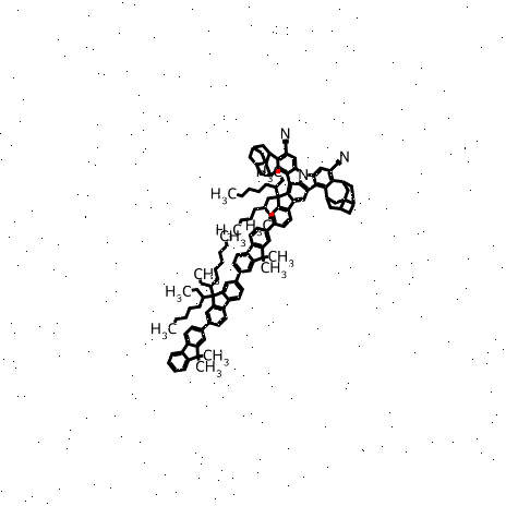 CCCCCCC(CC)C1(C(CC)CCCCC)c2cc(-c3ccc4c(c3)C(C)(C)c3ccccc3-4)ccc2-c2ccc(-c3ccc4c(c3)C(C)(C)c3cc(-c5ccc6c(c5)C(CC(CC)CCCC)(C(CC)CCCCC)c5c-6cc6c7c8c(c(C#N)cc7n7c9cc(C#N)c%10c(c9c5c67)C5CC6CC(CC%10C6)C5)C5CC6CC7CC8CC67C5)ccc3-4)cc21